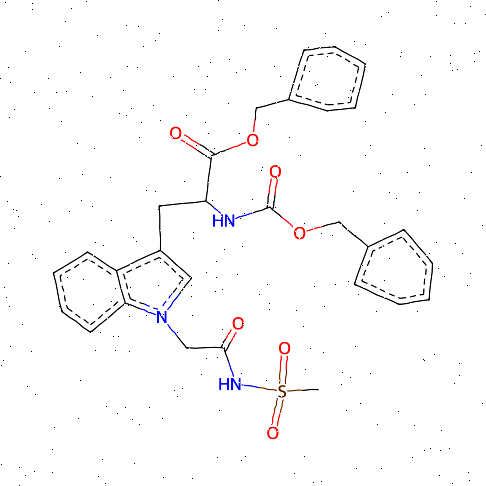 CS(=O)(=O)NC(=O)Cn1cc(CC(NC(=O)OCc2ccccc2)C(=O)OCc2ccccc2)c2ccccc21